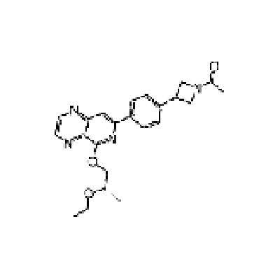 CCO[C@@H](C)COc1nc(-c2ccc(C3CN(C(C)=O)C3)cc2)cc2nccnc12